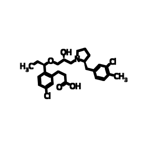 CC[C@@H](OC[C@H](O)CN1CCC[C@H]1Cc1ccc(C)c(Cl)c1)c1ccc(Cl)cc1CCC(=O)O